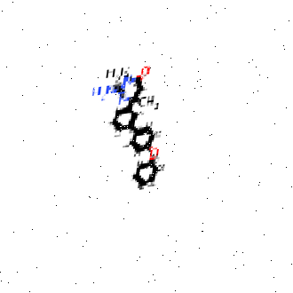 CN1C(=O)CC(C)(c2cccc(-c3ccc(Oc4ccccc4)cc3)c2)N=C1N